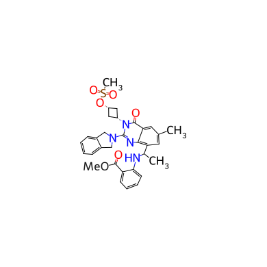 COC(=O)c1ccccc1NC(C)c1cc(C)cc2c(=O)n([C@H]3C[C@@H](OS(C)(=O)=O)C3)c(N3Cc4ccccc4C3)nc12